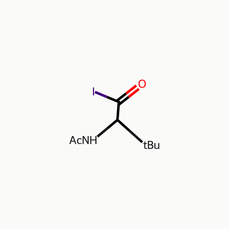 CC(=O)NC(C(=O)I)C(C)(C)C